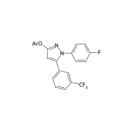 CC(=O)Oc1cc(-c2cccc(C(F)(F)F)c2)n(-c2ccc(F)cc2)n1